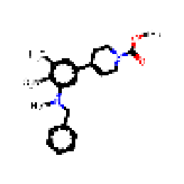 Cc1cc(C2=CCN(C(=O)OC(C)(C)C)CC2)cc(N(C)Cc2ccccc2)c1[N+](=O)[O-]